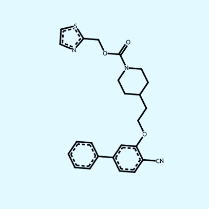 N#Cc1ccc(-c2ccccc2)cc1OCCC1CCN(C(=O)OCc2nccs2)CC1